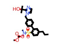 CCCc1ccc(S(=O)(=O)N(C)OC(=O)OC)c(-c2ccc(Cn3ccnc3C(C)(C)O)cc2)c1